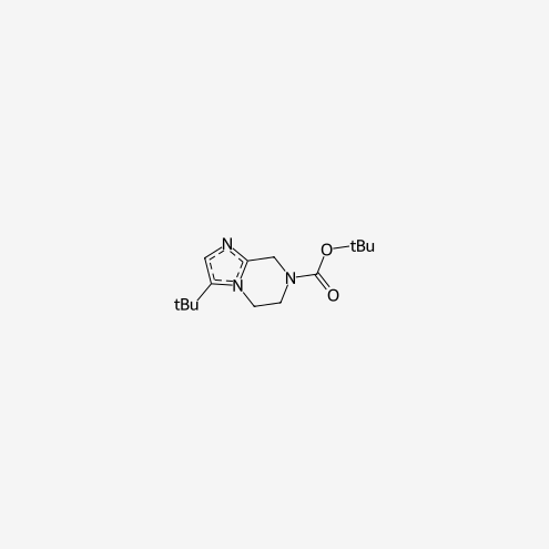 CC(C)(C)OC(=O)N1CCn2c(C(C)(C)C)cnc2C1